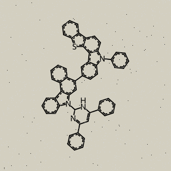 C1=C(c2ccccc2)NC(n2c3ccccc3c3c4ccccc4c(-c4ccc5c(c4)c4c6sc7ccccc7c6ccc4n5-c4ccccc4)cc32)N=C1c1ccccc1